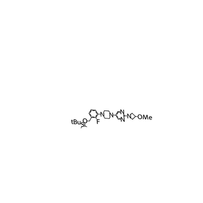 COC1CN(c2ncc(N3CCN(c4cccc(CO[Si](C)(C)C(C)(C)C)c4F)CC3)cn2)C1